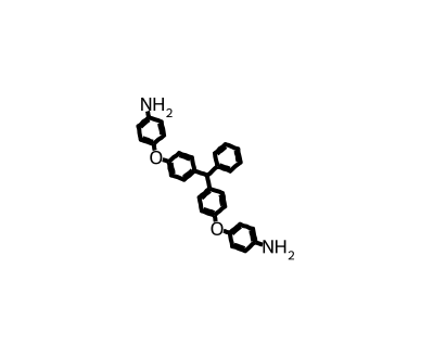 Nc1ccc(Oc2ccc(C(c3ccccc3)c3ccc(Oc4ccc(N)cc4)cc3)cc2)cc1